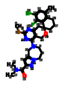 CSc1nc2c(c(N3CCCn4nc(C(=O)N(C)C)cc4C3)n1)COC1(CCCc3c(C)cc(Br)c(F)c31)C2